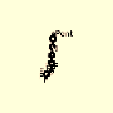 CCCCCC1CCC(c2ccc(-c3ccc(-c4cc(F)c(C(F)(F)Oc5cc(F)c(F)c(F)c5)c(F)c4)cc3)nc2)CC1